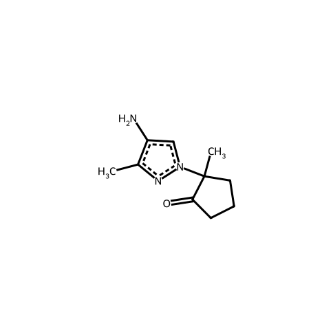 Cc1nn(C2(C)CCCC2=O)cc1N